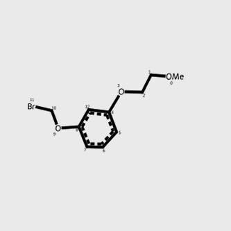 COCCOc1cccc(OCBr)c1